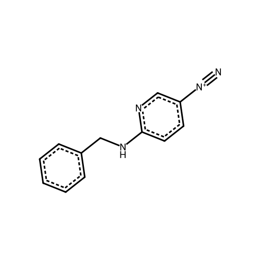 N#[N+]c1ccc(NCc2ccccc2)nc1